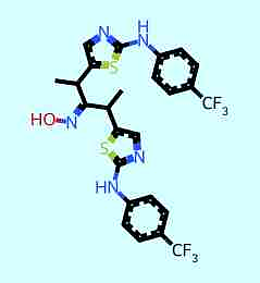 CC(C(=NO)C(C)c1cnc(Nc2ccc(C(F)(F)F)cc2)s1)c1cnc(Nc2ccc(C(F)(F)F)cc2)s1